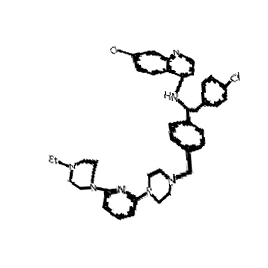 CCN1CCN(c2cccc(N3CCN(Cc4ccc(C(Nc5ccnc6cc(Cl)ccc56)c5ccc(Cl)cc5)cc4)CC3)n2)CC1